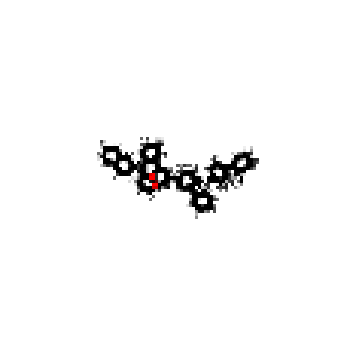 c1ccc(N(c2ccc3ccccc3c2)c2ccccc2-c2cccc(-c3ccc4c(c3)c3ccccc3n4-c3ccc4c(c3)oc3ccccc34)c2)cc1